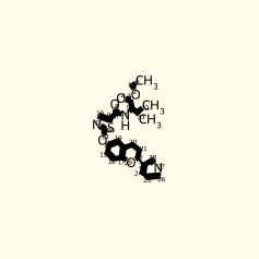 CCOC(=O)C(NC(=O)c1cnc(Oc2ccc3c(c2)CC[C@@H](c2cccnc2)O3)s1)C(C)C